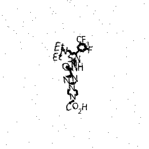 CCN(CC)Cc1sc(NC(=O)c2cnc(N3CCN(CCC(=O)O)CC3)cn2)nc1-c1cc(F)cc(C(F)(F)F)c1